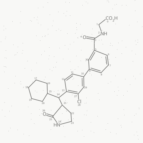 O=C(O)CNC(=O)c1cccc(-c2ccc(C(C3CCCCC3)C3CCNC3=O)c(Cl)c2)c1